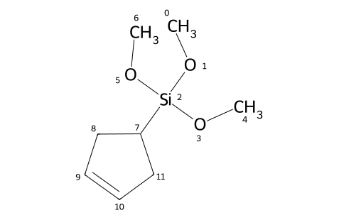 CO[Si](OC)(OC)C1CC=CC1